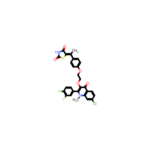 CC(=C1SC(=O)NC1=O)c1ccc(OCCOc2c(-c3ccc(F)c(F)c3)n(C)c3cc(Cl)ccc3c2=O)cc1